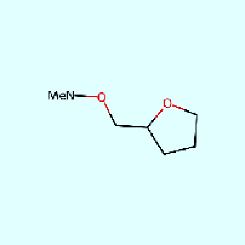 CNOCC1CCCO1